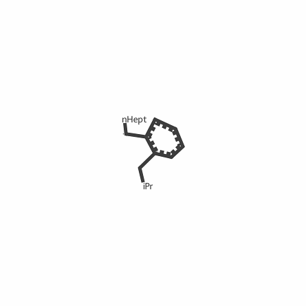 CCCCCCC[CH]c1ccccc1CC(C)C